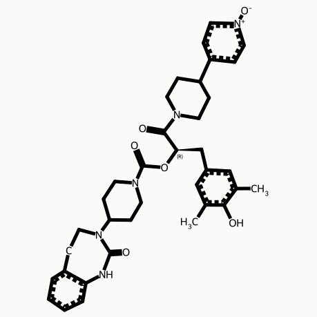 Cc1cc(C[C@@H](OC(=O)N2CCC(N3CCc4ccccc4NC3=O)CC2)C(=O)N2CCC(c3cc[n+]([O-])cc3)CC2)cc(C)c1O